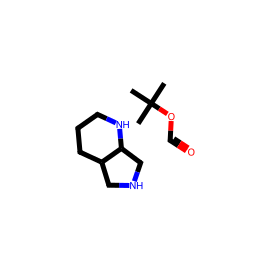 C1CNC2CNCC2C1.CC(C)(C)OC=O